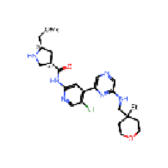 CCC1(CNc2cncc(-c3cc(NC(=O)[C@H]4CN[C@@H](COC)C4)ncc3Cl)n2)CCOCC1